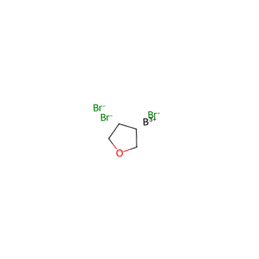 C1CCOC1.[B+3].[Br-].[Br-].[Br-]